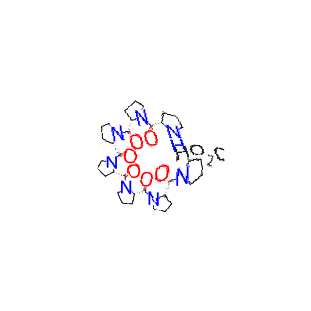 O=C(O)[C@@H]1CCCN1C(=O)[C@@H]1CCCN1C(=O)[C@@H]1CCCN1C(=O)[C@@H]1CCCN1C(=O)[C@@H]1CCCN1C(=O)[C@@H]1CCCN1C(=O)[C@@H]1CCCN1